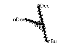 CCCC/C=C\CCCCCCCC(=O)O[C@H](COCCCCCCCCCCCCCCCCCC)COC(=O)CCCCCCCCCCCCCCCCC